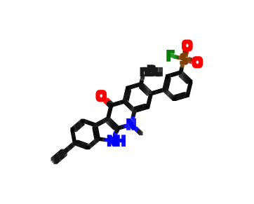 C#Cc1ccc2c(c1)[nH]c1c2c(=O)c2cc(CCCC)c(-c3cccc(S(=O)(=O)F)c3)cc2n1C